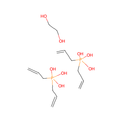 C=CCP(O)(O)(O)CC=C.C=CCP(O)(O)(O)CC=C.OCCO